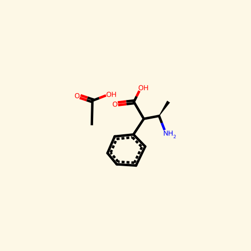 CC(=O)O.C[C@@H](N)C(C(=O)O)c1ccccc1